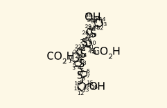 O=C(O)Cc1cc(-c2ccc(-c3ccccc3CO)s2)sc1-c1ccc(-c2sc(-c3ccc(-c4ccccc4CO)s3)cc2CC(=O)O)s1